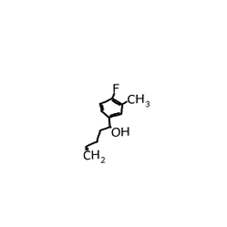 C=CCCC(O)c1ccc(F)c(C)c1